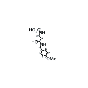 COc1ccc(CNC(O)CCNC(=O)O)cc1